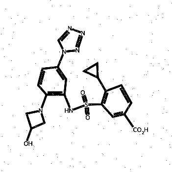 O=C(O)c1ccc(C2CC2)c(S(=O)(=O)Nc2cc(-n3cnnn3)ccc2N2CC(O)C2)c1